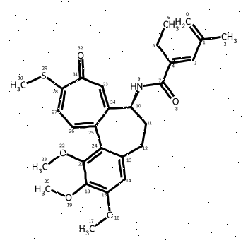 C=C(C)/C=C(\CC)C(=O)N[C@H]1CCc2cc(OC)c(OC)c(OC)c2-c2ccc(SC)c(=O)cc21